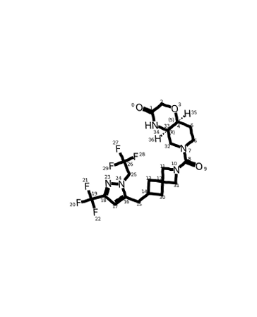 O=C1CO[C@H]2CCN(C(=O)N3CC4(CC(Cc5cc(C(F)(F)F)nn5CC(F)(F)F)C4)C3)C[C@H]2N1